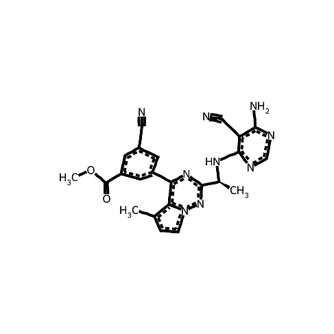 COC(=O)c1cc(C#N)cc(-c2nc([C@H](C)Nc3ncnc(N)c3C#N)nn3ccc(C)c23)c1